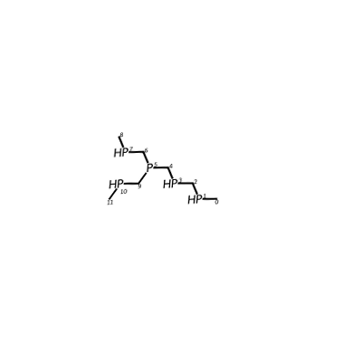 CPCPCP(CPC)CPC